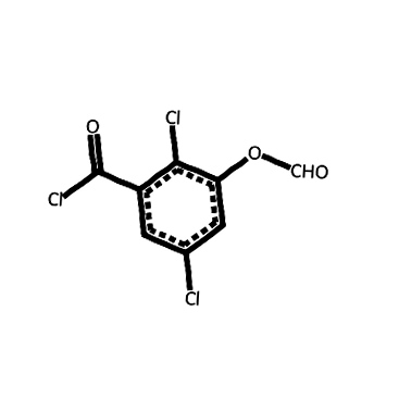 O=COc1cc(Cl)cc(C(=O)Cl)c1Cl